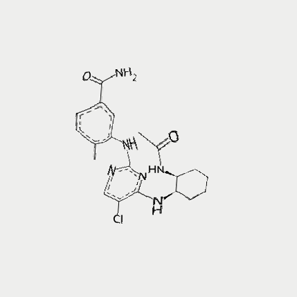 CC(=O)N[C@H]1CCCC[C@H]1Nc1nc(Nc2cc(C(N)=O)ccc2C)ncc1Cl